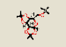 CC1(C)O[C@H]2[C@@H](O1)[C@@H](CO[Si](C)(C)C)O[C@@H]1OC(C)(C)O[C@@H]12